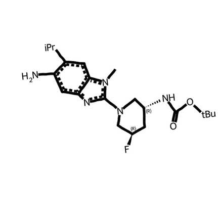 CC(C)c1cc2c(cc1N)nc(N1C[C@H](F)C[C@@H](NC(=O)OC(C)(C)C)C1)n2C